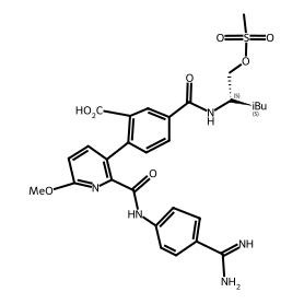 CC[C@H](C)[C@@H](COS(C)(=O)=O)NC(=O)c1ccc(-c2ccc(OC)nc2C(=O)Nc2ccc(C(=N)N)cc2)c(C(=O)O)c1